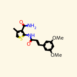 COc1cc(C=CC(=O)Nc2scc(C)c2C(N)=O)cc(OC)c1